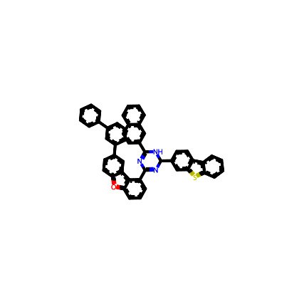 c1ccc(-c2cccc(-c3ccc4oc5cccc(C6=NC(c7ccc8c(c7)sc7ccccc78)NC(c7ccc8ccccc8c7)=N6)c5c4c3)c2)cc1